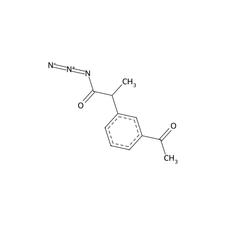 CC(=O)c1cccc(C(C)C(=O)N=[N+]=[N-])c1